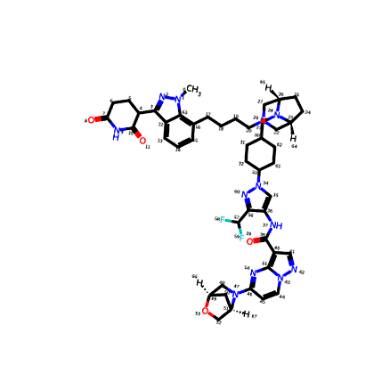 Cn1nc(C2CCC(=O)NC2=O)c2cccc(CCCCN3C[C@H]4CC[C@@H](C3)N4CC3CCC(n4cc(NC(=O)c5cnn6ccc(N7C[C@H]8C[C@@H]7CO8)nc56)c(C(F)F)n4)CC3)c21